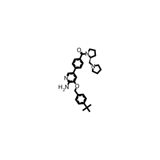 CC(C)(C)c1ccc(COc2cc(-c3ccc(C(=O)N4CCC[C@H]4CN4CCCC4)cc3)cnc2N)cc1